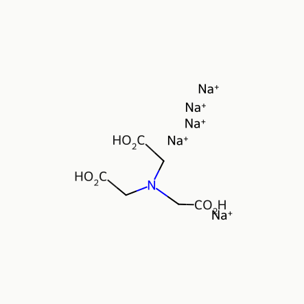 O=C(O)CN(CC(=O)O)CC(=O)O.[Na+].[Na+].[Na+].[Na+].[Na+]